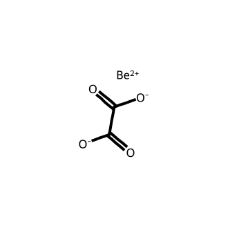 O=C([O-])C(=O)[O-].[Be+2]